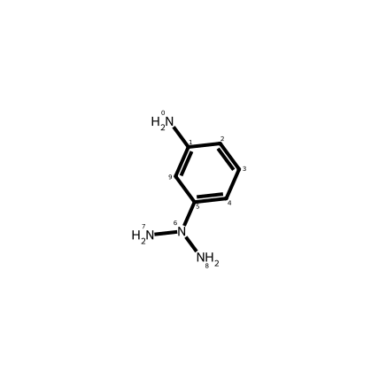 Nc1cccc(N(N)N)c1